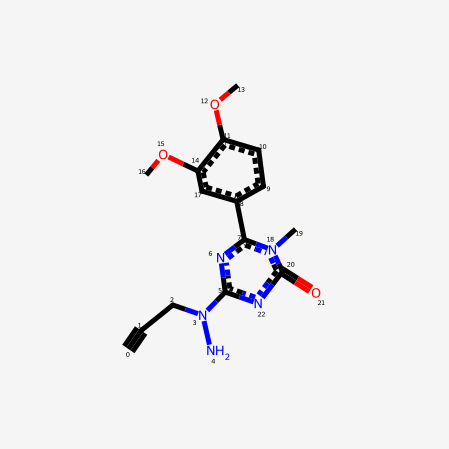 C#CCN(N)c1nc(-c2ccc(OC)c(OC)c2)n(C)c(=O)n1